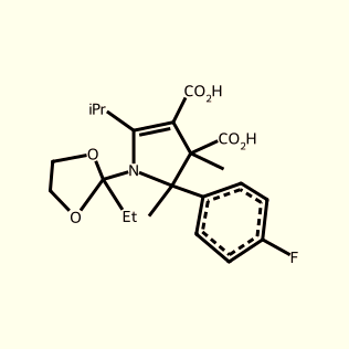 CCC1(N2C(C(C)C)=C(C(=O)O)C(C)(C(=O)O)C2(C)c2ccc(F)cc2)OCCO1